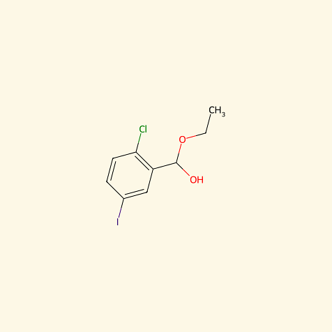 CCOC(O)c1cc(I)ccc1Cl